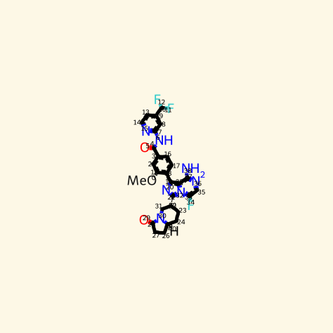 COc1cc(C(=O)Nc2cc(C(F)F)ccn2)ccc1-c1nc([C@@H]2CC[C@H]3CCC(=O)N3C2)n2c(F)cnc(N)c12